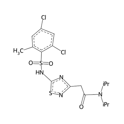 Cc1cc(Cl)cc(Cl)c1S(=O)(=O)Nc1nc(CC(=O)N(C(C)C)C(C)C)ns1